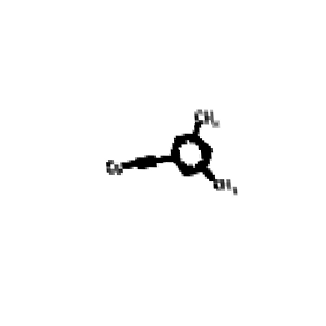 Cc1cc(C)cc(C#[C][Cu])c1